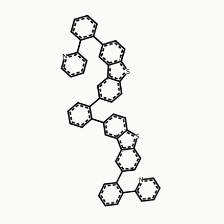 c1ccc(-c2ccccc2-c2ccc3sc4ccc(-c5ccccc5-c5ccc6sc7ccc(-c8ccccc8-c8ccccn8)cc7c6c5)cc4c3c2)nc1